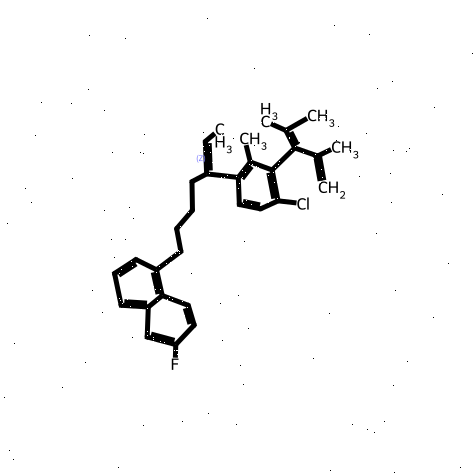 C=C(C)C(=C(C)C)c1c(Cl)ccc(/C(=C\C)CCCCc2cccc3cc(F)ccc23)c1C